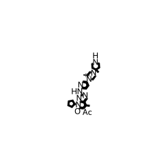 CC(=O)c1c(C)c2cnc(Nc3ccc(N4CCN(C5(C)CCNCC5)C[C@@H]4C)cn3)nc2n(C2CCCC2)c1=O